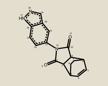 O=C1C2C3C=CC(CC3)C2C(=O)N1c1ccc2[nH]ncc2c1